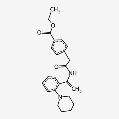 C=C(NC(=O)Cc1ccc(C(=O)OCC)cc1)c1ccccc1N1CCCCC1